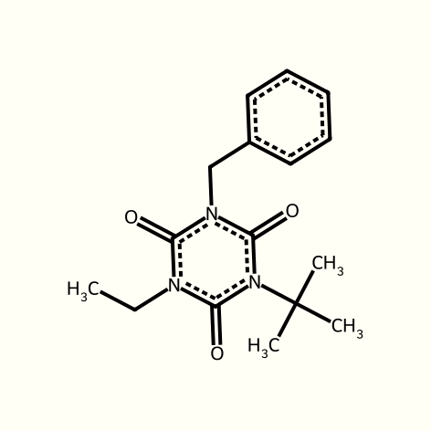 CCn1c(=O)n(Cc2ccccc2)c(=O)n(C(C)(C)C)c1=O